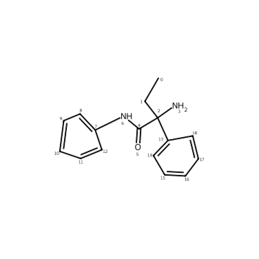 CCC(N)(C(=O)Nc1ccccc1)c1ccccc1